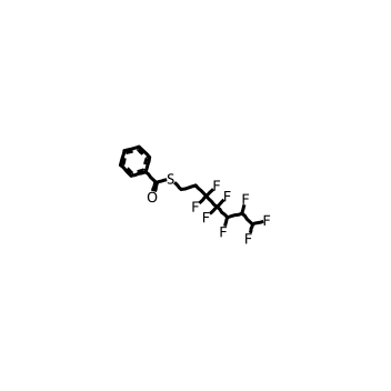 O=C(SCCC(F)(F)C(F)(F)C(F)C(F)C(F)F)c1ccccc1